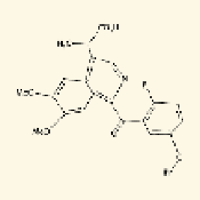 COc1cc2c(C(C)C(=O)O)cnc(C(=O)c3cc(OC(C)C)ccc3F)c2cc1OC